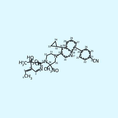 C=C(/N=C\C(=C/C)C(C)(C)O)N1CCN(c2cnc3c(-c4ccc(C#N)cc4)cccc3c2C2CC2)CC1(C)N=O